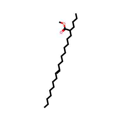 CCCCCCCC/C=C/CCCCCCCCC(CCCC)C(=O)OC